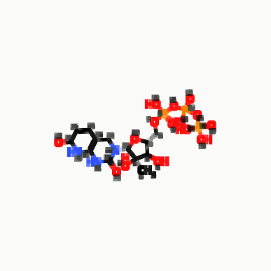 C[C@@]1(O)[C@H](O)[C@@H](COP(=O)(O)OP(=O)(O)OP(=O)(O)O)O[C@H]1N1Cc2ccc(=O)[nH]c2NC1=O